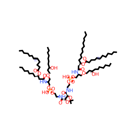 CCCCCC/C=C/CCCC(=O)O[C@H](CCCCCCC)CC(=O)NC(COCC[C@H](O)CCCCCCC)COP(=O)(O)OCCNC(=O)[C@H]1OC(C)(C)O[C@@H]1C(=O)NCCOP(=O)(O)OCC(COCC[C@H](O)CCCCCCC)NC(=O)C[C@@H](CCCCCCCCCCC)OC(=O)CCC/C=C/CCCCCC